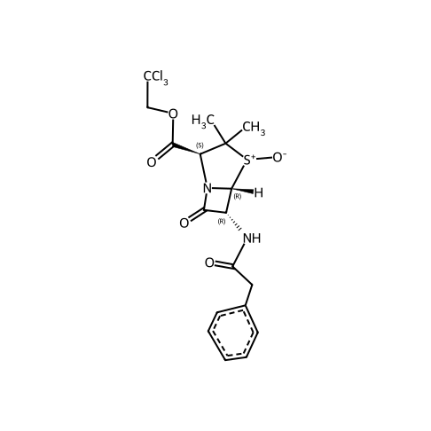 CC1(C)[C@H](C(=O)OCC(Cl)(Cl)Cl)N2C(=O)[C@@H](NC(=O)Cc3ccccc3)[C@H]2[S+]1[O-]